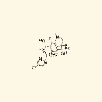 CCC(O)(c1cc(F)c([C@@H](O)N(C)Cc2ncc(Cl)cn2)c(C=O)c1)C1(F)CCN(C)CC1